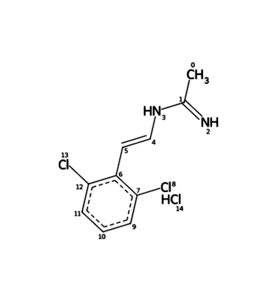 CC(=N)NC=Cc1c(Cl)cccc1Cl.Cl